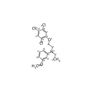 CCN(CCOc1cc(Cl)c(Cl)cc1Cl)c1cccc(OC)c1